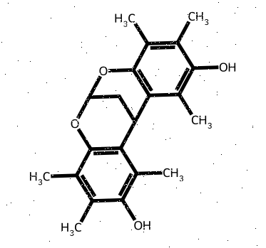 Cc1c(C)c2c(c(C)c1O)C1CC(O2)Oc2c(C)c(C)c(O)c(C)c21